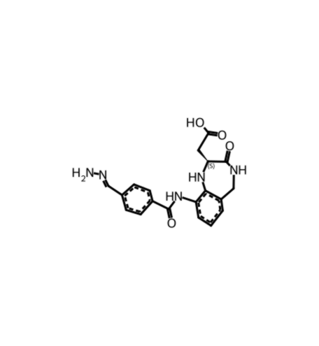 NN=Cc1ccc(C(=O)Nc2cccc3c2N[C@@H](CC(=O)O)C(=O)NC3)cc1